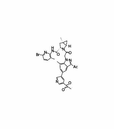 CC(=O)c1nn(CC(=O)N2[C@H](C(=O)Nc3nc(Br)ccc3C)C[C@@]3(C)C[C@@H]23)c2c(C)cc(-c3cncc(S(C)(=O)=O)c3)cc12